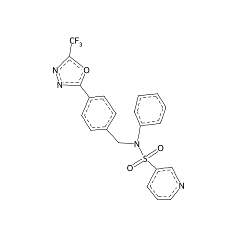 O=S(=O)(c1cccnc1)N(Cc1ccc(-c2nnc(C(F)(F)F)o2)cc1)c1ccccc1